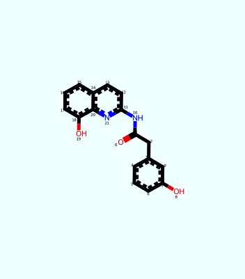 O=C(Cc1cccc(O)c1)Nc1ccc2cccc(O)c2n1